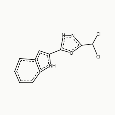 ClC(Cl)c1nnc(-c2cc3ccccc3[nH]2)o1